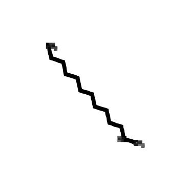 CNCCCCCCCCCCN